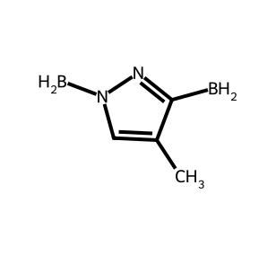 Bc1nn(B)cc1C